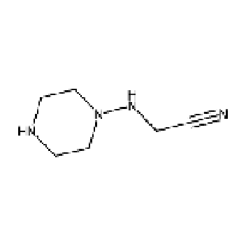 N#CCNN1CCNCC1